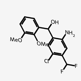 COc1cccc(C(O)c2cc(Cl)c(C(F)F)cc2N)c1OC